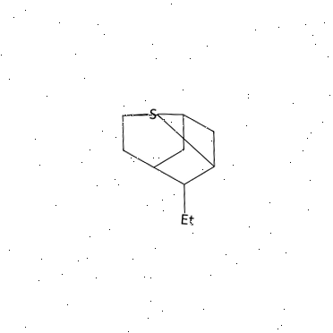 CCC1C2CC3CC1CC(C2)S3